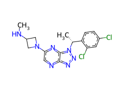 CNC1CN(c2cnc3nnn([C@H](C)c4ccc(Cl)cc4Cl)c3n2)C1